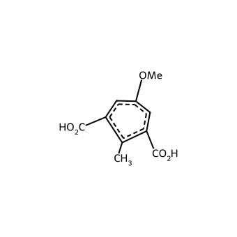 COc1cc(C(=O)O)c(C)c(C(=O)O)c1